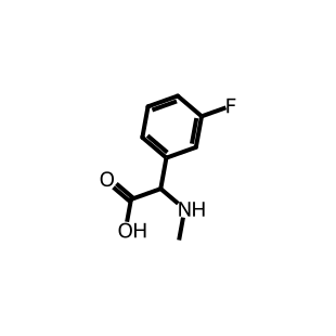 CNC(C(=O)O)c1cccc(F)c1